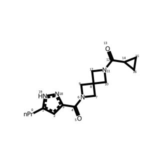 CCCc1cc(C(=O)N2CC3(C2)CN(C(=O)C2CC2)C3)n[nH]1